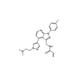 C=CC(=O)NCc1nn(-c2ccc(C)cc2)c2nccc(-c3cnn(CCN(C)C)c3)c12